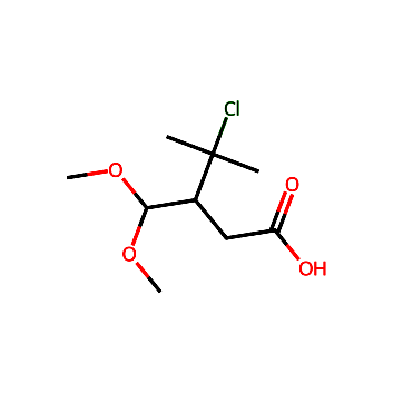 COC(OC)C(CC(=O)O)C(C)(C)Cl